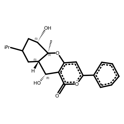 CC(C)C1C[C@H](O)[C@@]2(C)Oc3cc(-c4ccccc4)oc(=O)c3[C@H](O)[C@@H]2C1